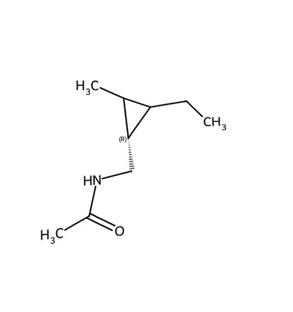 CCC1C(C)[C@H]1CNC(C)=O